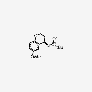 COc1ccc2c(c1)C(=N[S@@+]([O-])C(C)(C)C)CCO2